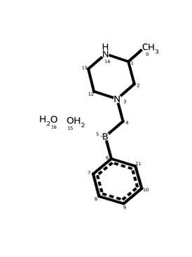 CC1CN(C[B]c2ccccc2)CCN1.O.O